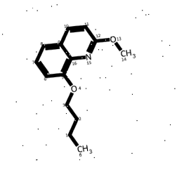 CCCCOc1cccc2ccc(OC)nc12